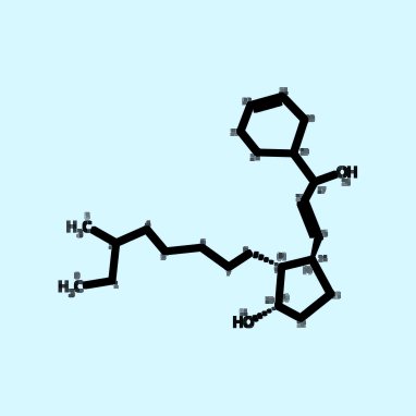 CCC(C)CCCCC[C@H]1[C@@H](O)CC[C@@H]1C=CC(O)C1CC=CCC1